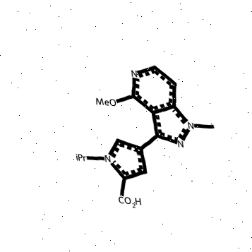 COc1nccc2c1c(-c1cc(C(=O)O)n(C(C)C)c1)nn2C